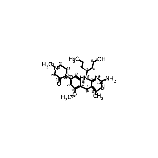 CCC[C@@H](CCO)Nc1nc(N)nc(C)c1Cc1ccc(N2CCN(C)CC2=O)cc1OC